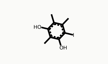 Cc1c(C)c(I)c(O)c(C)c1O